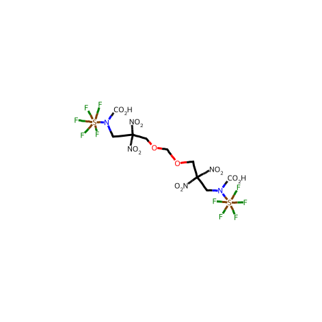 O=C(O)N(CC(COCOCC(CN(C(=O)O)S(F)(F)(F)(F)F)([N+](=O)[O-])[N+](=O)[O-])([N+](=O)[O-])[N+](=O)[O-])S(F)(F)(F)(F)F